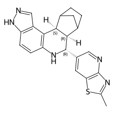 Cc1nc2ncc([C@@H]3Nc4ccc5[nH]ncc5c4[C@H]4C5CCC(C5)[C@@H]34)cc2s1